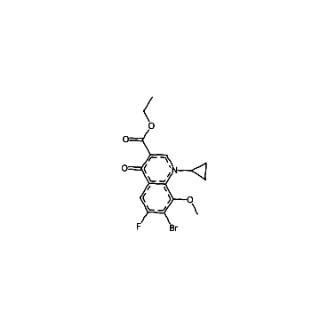 CCOC(=O)c1cn(C2CC2)c2c(OC)c(Br)c(F)cc2c1=O